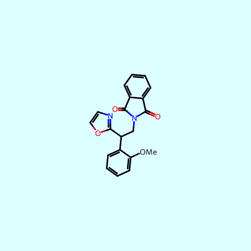 COc1ccccc1C(CN1C(=O)c2ccccc2C1=O)c1ncco1